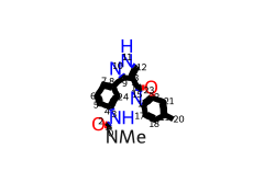 CNC(=O)Nc1cccc(-c2n[nH]cc2-c2nc3ccc(C)cc3o2)c1